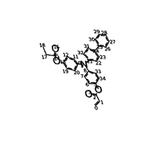 C=CC(=O)Oc1ccc(N(c2ccc(OC(=O)CC)cc2)c2ccc(-c3ccccc3)cc2)cc1